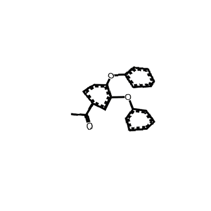 CC(=O)c1ccc(Oc2ccccc2)c(Oc2ccccc2)c1